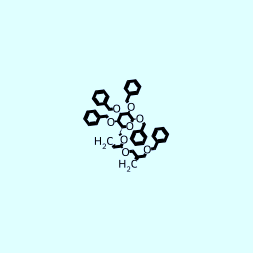 C=C[C@H](OCC(=C)COCc1ccccc1)OC[C@H]1O[C@@H](OCc2ccccc2)[C@H](OCc2ccccc2)[C@@H](OCc2ccccc2)[C@@H]1OCc1ccccc1